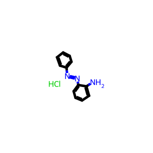 Cl.Nc1ccccc1N=Nc1ccccc1